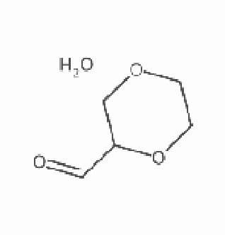 O.O=CC1COCCO1